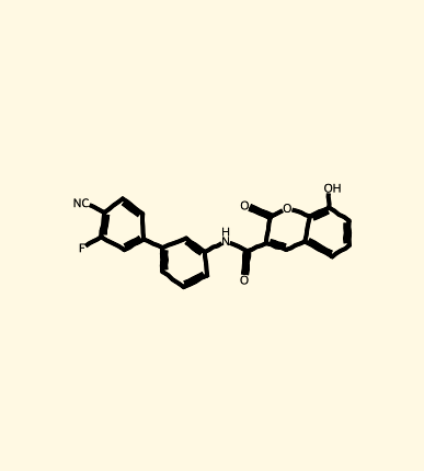 N#Cc1ccc(-c2cccc(NC(=O)c3cc4cccc(O)c4oc3=O)c2)cc1F